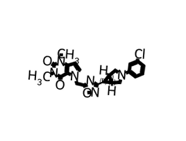 Cn1c(=O)c2c(ccn2Cc2nc([C@H]3[C@@H]4CN(c5cccc(Cl)c5)C[C@@H]43)no2)n(C)c1=O